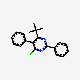 CC(C)(C)c1nc(-c2ccccc2)nc(Cl)c1-c1ccccc1